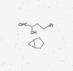 C1CC2CC2C1.CC(C)CCC(O)C=O